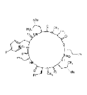 CCCC[C@@H](C)CC1NC(=O)C(Cc2ccc(F)cn2)N(C)C(=O)C(CC(C)C)NC(=O)[C@H](CC(C)C)N(C)C(=O)C(C[C@H](C)CCCC)NC(=O)[C@@H](CCC#N)OC(=O)C(C)N(C)C1=O